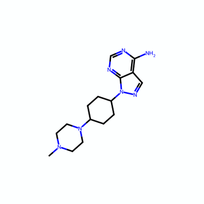 CN1CCN(C2CCC(n3ncc4c(N)ncnc43)CC2)CC1